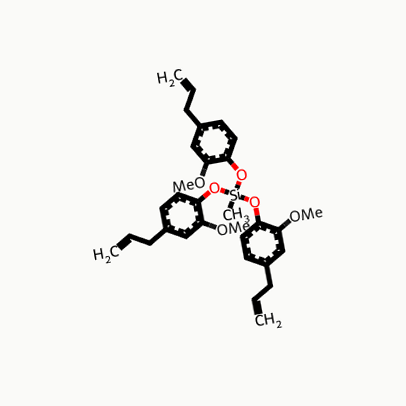 C=CCc1ccc(O[Si](C)(Oc2ccc(CC=C)cc2OC)Oc2ccc(CC=C)cc2OC)c(OC)c1